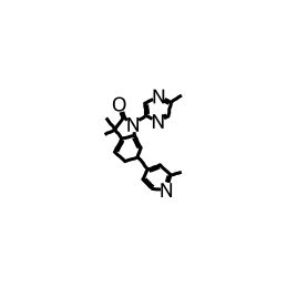 Cc1cnc(N2C(=O)C(C)(C)C3=CCC(c4ccnc(C)c4)C=C32)cn1